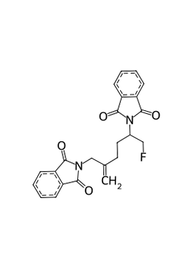 C=C(CCC(CF)N1C(=O)c2ccccc2C1=O)CN1C(=O)c2ccccc2C1=O